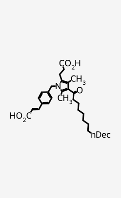 CCCCCCCCCCCCCCCCCC(=O)c1c(C)c(CCC(=O)O)n(Cc2ccc(C=CC(=O)O)cc2)c1C